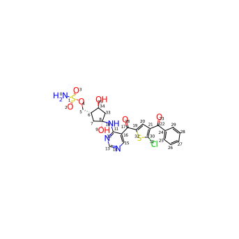 NS(=O)(=O)OC[C@H]1C[C@](O)(Nc2ncncc2C(=O)c2cc(C(=O)c3ccccc3)c(Cl)s2)C[C@@H]1O